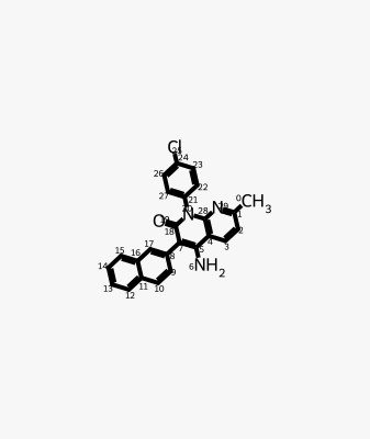 Cc1ccc2c(N)c(-c3ccc4ccccc4c3)c(=O)n(-c3ccc(Cl)cc3)c2n1